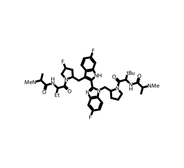 CCC(NC(=O)C(C)NC)C(=O)N1CC(F)CC1Cc1c(-c2nc3cc(F)ccc3n2CC2CCCN2C(=O)C(NC(=O)C(C)NC)C(C)(C)C)[nH]c2cc(F)ccc12